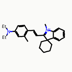 CCN(CC)c1ccc(/C=C/C2=[N+](C)c3ccccc3C23CCCCC3)c(C)c1